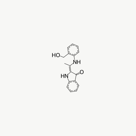 C/C(Nc1ccccc1CO)=C1\Nc2ccccc2C1=O